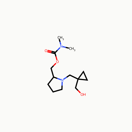 CN(C)C(=O)OCC1CCCN1CC1(CO)CC1